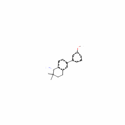 CCCCOc1cccc(-c2ccc3c(c2)CCC(C)(C)[C@H]3NC(=O)O)c1